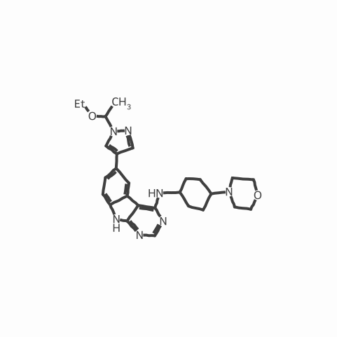 CCOC(C)n1cc(-c2ccc3[nH]c4ncnc(NC5CCC(N6CCOCC6)CC5)c4c3c2)cn1